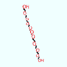 OCCOCCOCCOCCOCOCOCCOCCOCCOCCO